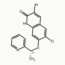 CC(C)c1cc2cc(Cl)c(O[C@H](C)c3ccccn3)cc2[nH]c1=O